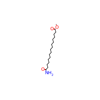 COC(=O)CCCCCCCCCCCCCCCC(N)=O